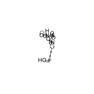 C[C@@](CCn1cc2cc(C#CC#C[C@H]3C[C@@H]3CO)ccc2n1)(C(=O)NOC1CCCCO1)S(C)(=O)=O